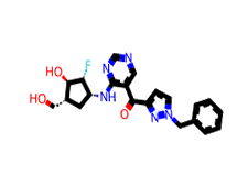 O=C(c1ccn(Cc2ccccc2)n1)c1cncnc1N[C@@H]1C[C@H](CO)[C@@H](O)[C@@H]1F